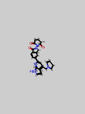 O=C1c2ccc(-c3cc(CN4CCCC4)c4cc[nH]c4n3)cc2CN1N1C(=O)CCCC1=O